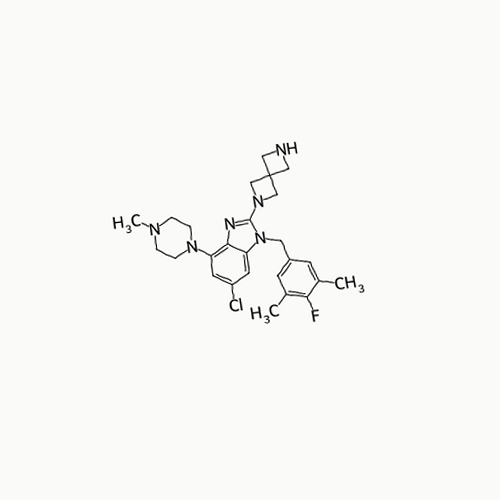 Cc1cc(Cn2c(N3CC4(CNC4)C3)nc3c(N4CCN(C)CC4)cc(Cl)cc32)cc(C)c1F